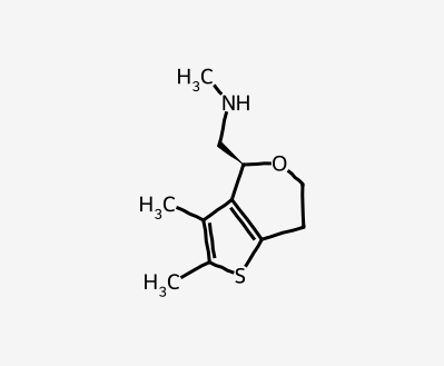 CNC[C@H]1OCCc2sc(C)c(C)c21